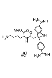 COC(=O)C(CCCCN)NC(=O)Cc1c(-c2ccc(C(=N)N)cc2)[nH]c2cc(C(=N)N)ccc12.Cl.Cl